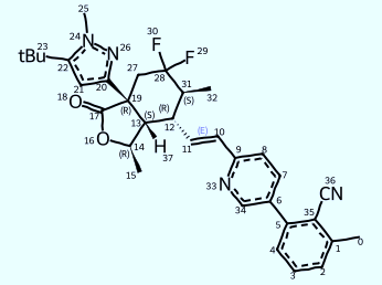 Cc1cccc(-c2ccc(/C=C/[C@@H]3[C@@H]4[C@@H](C)OC(=O)[C@]4(c4cc(C(C)(C)C)n(C)n4)CC(F)(F)[C@H]3C)nc2)c1C#N